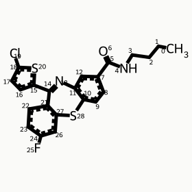 CCCCNC(=O)c1ccc2c(c1)N=C(c1ccc(Cl)s1)c1ccc(F)cc1S2